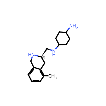 Cc1cccc2c1C[C@H](CNC1CCC(N)CC1)NC2